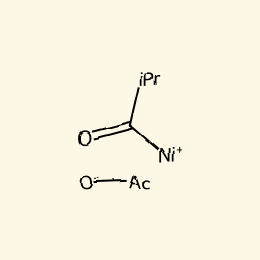 CC(=O)[O-].CC(C)[C](=O)[Ni+]